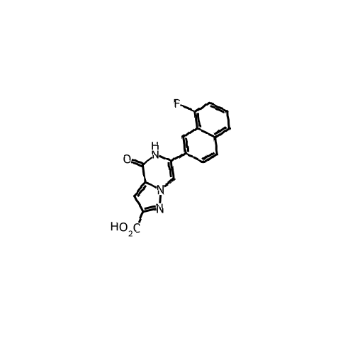 O=C(O)c1cc2c(=O)[nH]c(-c3ccc4cccc(F)c4c3)cn2n1